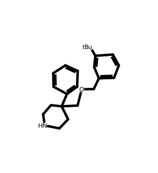 CC(C)(C)c1cccc(COCC2(c3ccccc3)CCNCC2)c1